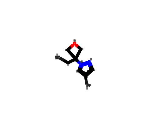 CC(C)c1cnn(C2(CC#N)COC2)c1